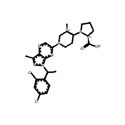 Cc1nn(C(C)c2ccc(Cl)cc2Cl)c2nc(N3CCC(N4CCC[C@H]4C(=O)O)[C@H](C)C3)cnc12